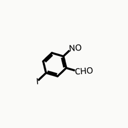 O=Cc1cc(I)ccc1N=O